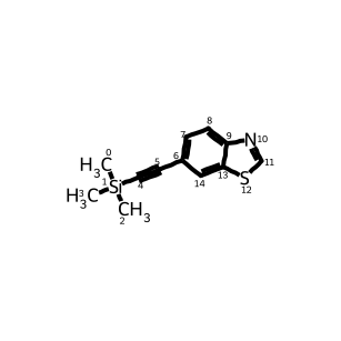 C[Si](C)(C)C#Cc1ccc2ncsc2c1